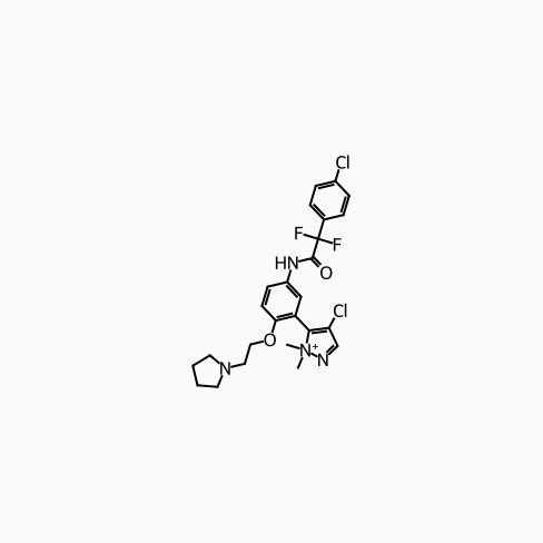 C[N+]1(C)N=CC(Cl)=C1c1cc(NC(=O)C(F)(F)c2ccc(Cl)cc2)ccc1OCCN1CCCC1